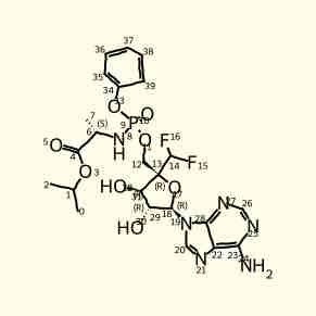 CC(C)OC(=O)[C@H](C)NP(=O)(OC[C@@]1(C(F)F)O[C@@H](n2cnc3c(N)ncnc32)[C@H](O)[C@H]1O)Oc1ccccc1